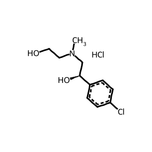 CN(CCO)C[C@H](O)c1ccc(Cl)cc1.Cl